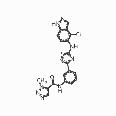 Cn1nncc1C(=O)Nc1cccc(-c2nsc(Nc3ccc4[nH]ncc4c3Cl)n2)c1